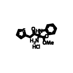 COC(=O)[C@@](N)(Nc1ccccc1)C(=O)Cc1cccs1.Cl